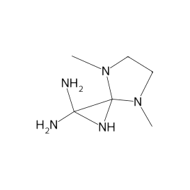 CN1CCN(C)C12NC2(N)N